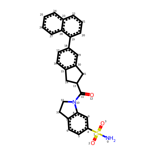 NS(=O)(=O)c1ccc2c(c1)N(C(=O)C1Cc3ccc(-c4cccc5ccccc45)cc3C1)CC2